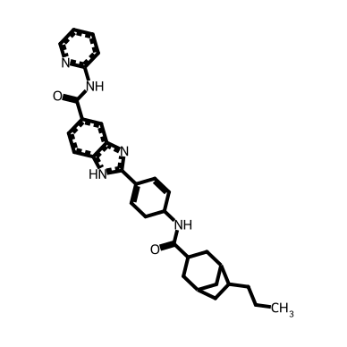 CCCC1CC2CC(C(=O)NC3C=CC(c4nc5cc(C(=O)Nc6ccccn6)ccc5[nH]4)=CC3)CC1C2